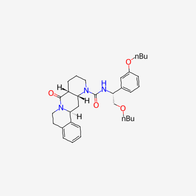 CCCCOC[C@H](NC(=O)N1CCC[C@H]2C(=O)N3CCc4ccccc4[C@@H]3C[C@H]21)c1cccc(OCCCC)c1